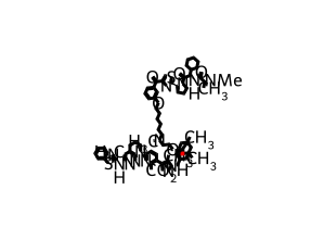 CN[C@@H](C)C(=O)N[C@H](C(=O)N1CCC[C@H]1c1nc(C(=O)c2cccc(OCCCCCCN(C)CCOC34CC5(C)CC(C)(CC(Cn6ncc(-c7ccc(N8CCCc9c8nnc(Nc8nc%10ccccc%10s8)c9C)nc7C(=O)O)c6C)(C5)C3)C4)c2)cs1)C1CCCCC1